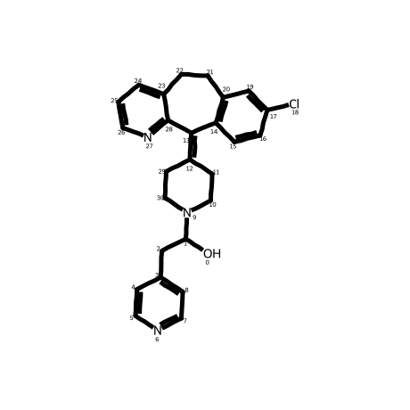 OC(Cc1ccncc1)N1CCC(=C2c3ccc(Cl)cc3CCc3cccnc32)CC1